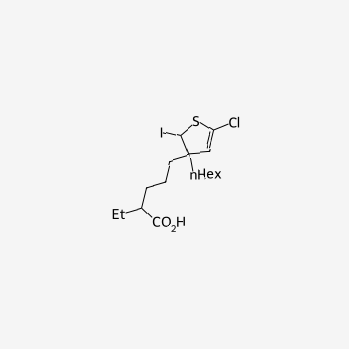 CCCCCCC1(CCCC(CC)C(=O)O)C=C(Cl)SC1I